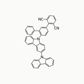 N#Cc1cccc(C#N)c1-c1ccc(-n2c3ccccc3c3cc(-n4c5ccccc5c5ccccc54)ccc32)c(-c2ccccc2)c1